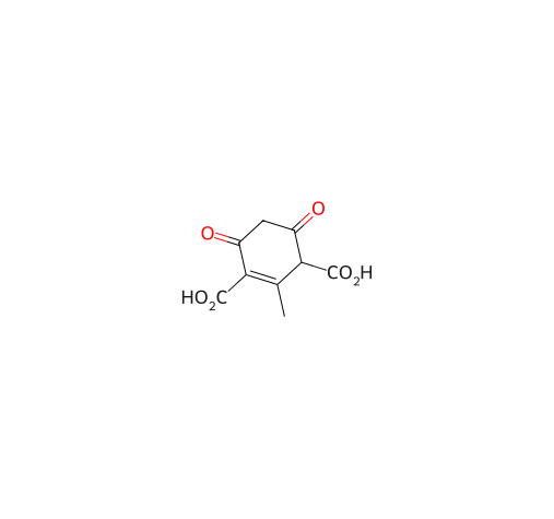 CC1=C(C(=O)O)C(=O)CC(=O)C1C(=O)O